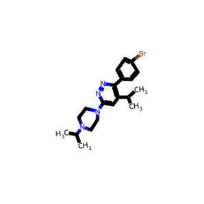 CC(C)c1cc(N2CCN(C(C)C)CC2)nnc1-c1ccc(Br)cc1